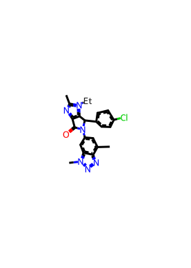 CCn1c(C)nc2c1C(c1ccc(Cl)cc1)N(c1cc(C)c3nnn(C)c3c1)C2=O